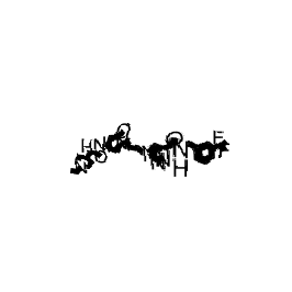 CCN1CCC(CC(=O)Nc2ccn(CCCCn3cc(C(=O)NCc4cccc(C(C)(F)F)c4)nn3)c(=O)c2)CC1